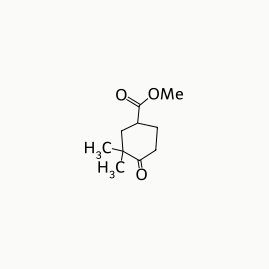 COC(=O)C1CCC(=O)C(C)(C)C1